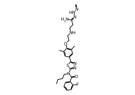 C=NN/N=C(\N)CCNCCOc1c(C)cc(-c2nnc(N(CCCC)C(=O)c3ccccc3F)s2)cc1C